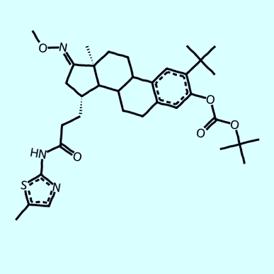 CO/N=C1\C[C@@H](CCC(=O)Nc2ncc(C)s2)C2C3CCc4cc(OC(=O)OC(C)(C)C)c(C(C)(C)C)cc4C3CC[C@]12C